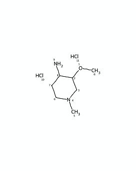 COC1CN(C)CCC1N.Cl.Cl